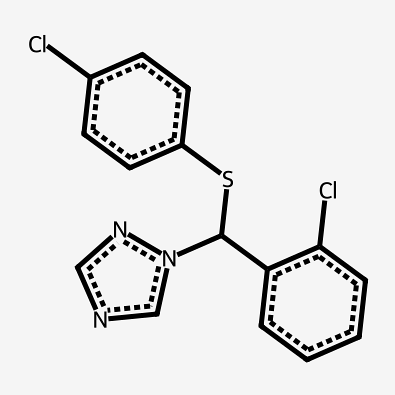 Clc1ccc(SC(c2ccccc2Cl)n2cncn2)cc1